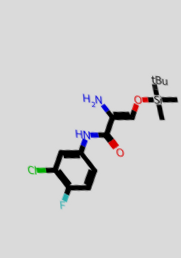 CC(C)(C)[Si](C)(C)OC=C(N)C(=O)Nc1ccc(F)c(Cl)c1